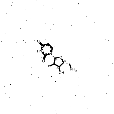 NC[C@H]1O[C@@H](n2ccc(=O)[nH]c2=O)C(F)[C@@H]1O